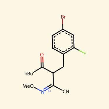 CCCCC(=O)C(Cc1ccc(Br)cc1F)/C(C#N)=N\OC